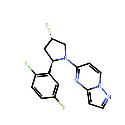 Fc1ccc(F)c([C@H]2C[C@H](F)CN2c2ccn3nccc3n2)c1